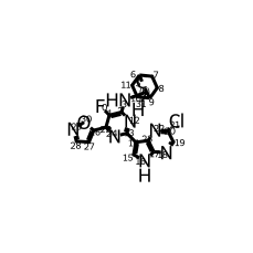 Fc1c(N[C@@H]2CC3CCC2CC3)nc(-c2c[nH]c3ncc(Cl)nc23)nc1-c1ccno1